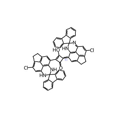 O=C1C(c2cc3c4c(c(Cl)cc5c4c2NC2(N5)c4ccccc4-c4ccccc42)CC3)=C(O)/C1=c1/cc2c3c(c(Cl)cc4c3c1NC1(N=4)c3ccccc3-c3ccccc31)CC2